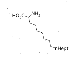 CCCCCCCCCCCCCCC(N)C(=O)O